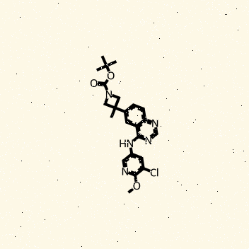 COc1ncc(Nc2ncnc3ccc(C4(C)CN(C(=O)OC(C)(C)C)C4)cc23)cc1Cl